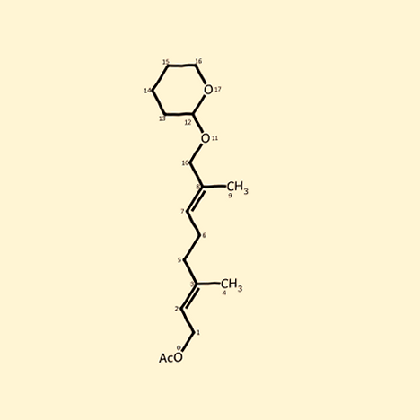 CC(=O)OC/C=C(\C)CC/C=C(\C)COC1CCCCO1